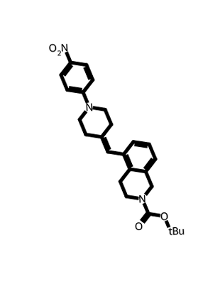 CC(C)(C)OC(=O)N1CCc2c(C=C3CCN(c4ccc([N+](=O)[O-])cc4)CC3)cccc2C1